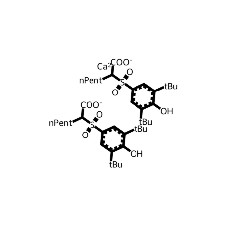 CCCCCC(C(=O)[O-])S(=O)(=O)c1cc(C(C)(C)C)c(O)c(C(C)(C)C)c1.CCCCCC(C(=O)[O-])S(=O)(=O)c1cc(C(C)(C)C)c(O)c(C(C)(C)C)c1.[Ca+2]